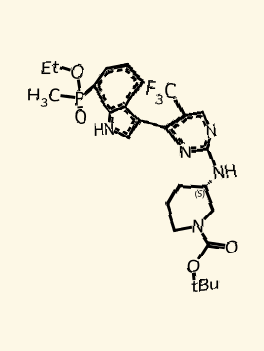 CCOP(C)(=O)c1cccc2c(-c3nc(N[C@H]4CCCN(C(=O)OC(C)(C)C)C4)ncc3C(F)(F)F)c[nH]c12